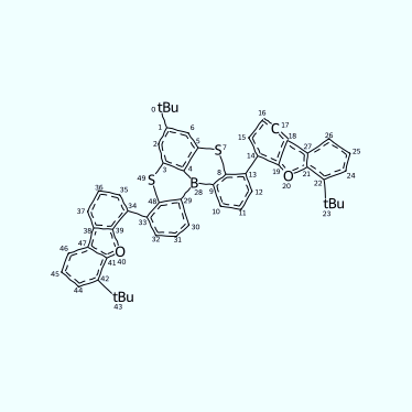 CC(C)(C)c1cc2c3c(c1)Sc1c(cccc1-c1cccc4c1oc1c(C(C)(C)C)cccc14)B3c1cccc(-c3cccc4c3oc3c(C(C)(C)C)cccc34)c1S2